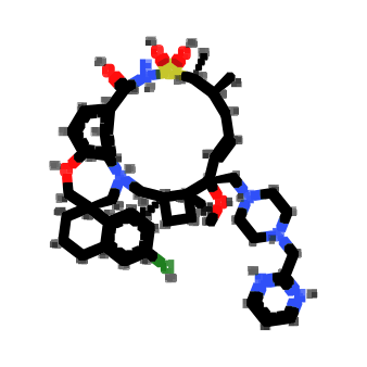 CO[C@@]1(CN2CCN(Cc3ncccn3)CC2)/C=C/C[C@H](C)[C@@H](C)S(=O)(=O)NC(=O)c2ccc3c(c2)N(C[C@@H]2CC[C@H]21)C[C@@]1(CCCc2cc(Cl)ccc21)CO3